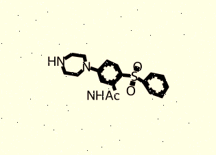 CC(=O)Nc1cc(N2CCNCC2)ccc1S(=O)(=O)c1ccccc1